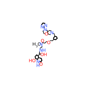 CN(CCNC[C@H](O)c1ccc(O)c2[nH]c(=O)ccc12)C(=O)CCOCCc1cccc(CN2CCC3(CC2)CN(c2ncccn2)CCO3)c1